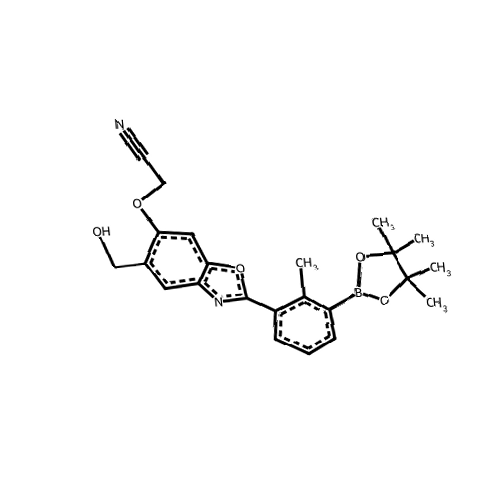 Cc1c(B2OC(C)(C)C(C)(C)O2)cccc1-c1nc2cc(CO)c(OCC#N)cc2o1